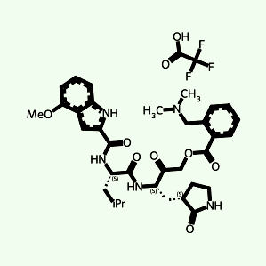 COc1cccc2[nH]c(C(=O)N[C@@H](CC(C)C)C(=O)N[C@@H](C[C@@H]3CCNC3=O)C(=O)COC(=O)c3ccccc3CN(C)C)cc12.O=C(O)C(F)(F)F